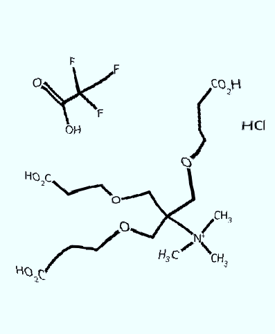 C[N+](C)(C)C(COCCC(=O)O)(COCCC(=O)O)COCCC(=O)O.Cl.O=C(O)C(F)(F)F